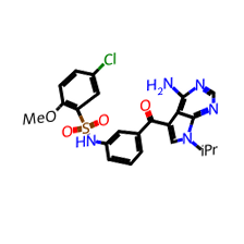 COc1ccc(Cl)cc1S(=O)(=O)Nc1cccc(C(=O)c2cn(C(C)C)c3ncnc(N)c23)c1